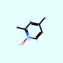 Cc1c[c][n+]([O-])c(C)c1